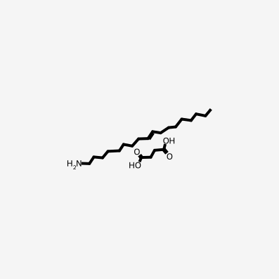 CCCCCCCCC=CCCCCCCCCN.O=C(O)CCC(=O)O